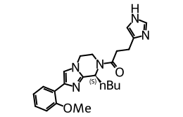 CCCC[C@H]1c2nc(-c3ccccc3OC)cn2CCN1C(=O)CCc1c[nH]cn1